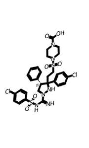 N=C(NS(=O)(=O)c1ccc(Cl)cc1)N1C[C@H](c2ccccc2)C(CCS(=O)(=O)N2CCN(C(=O)O)CC2)(c2ccc(Cl)cc2)N1